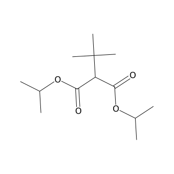 CC(C)OC(=O)C(C(=O)OC(C)C)C(C)(C)C